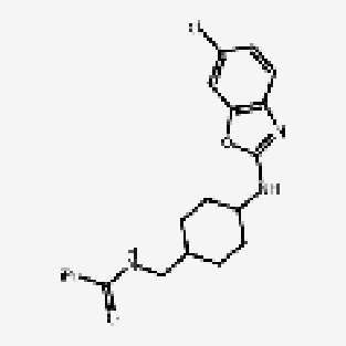 CC(C)C(=O)NCC1CCC(Nc2nc3ccc(Cl)cc3o2)CC1